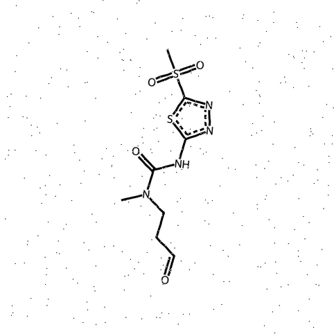 CN(CCC=O)C(=O)Nc1nnc(S(C)(=O)=O)s1